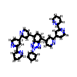 c1ccc(-n2nc3c(-c4ccnc(-c5ccnc(-c6ccccn6)c5)c4)ccc(-c4ccnc(-c5ccnc(-c6ccccn6)c5)c4)c3n2)cc1